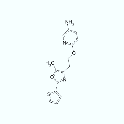 Cc1oc(-c2cccs2)nc1CCOc1ccc(N)cn1